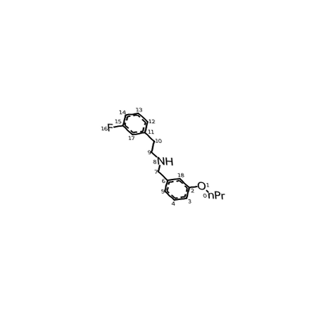 CCCOc1cccc(CNCCc2cccc(F)c2)c1